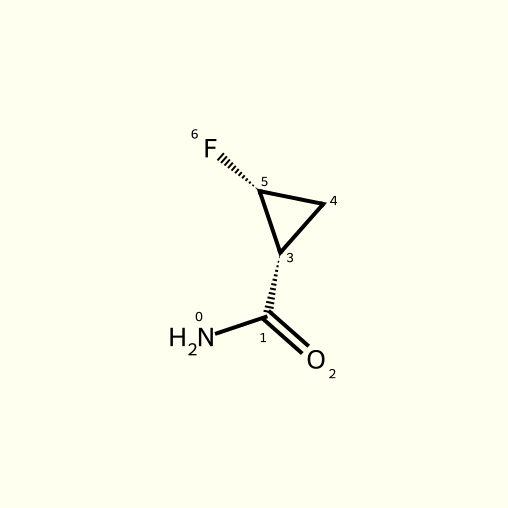 NC(=O)[C@H]1C[C@H]1F